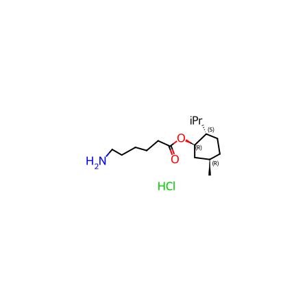 CC(C)[C@@H]1CC[C@@H](C)C[C@H]1OC(=O)CCCCCN.Cl